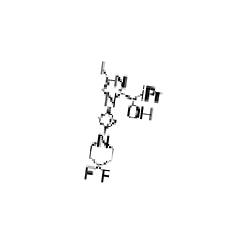 CC(C)C(O)c1nc(I)cn1C12CC(N3CCC(F)(F)CC3)(C1)C2